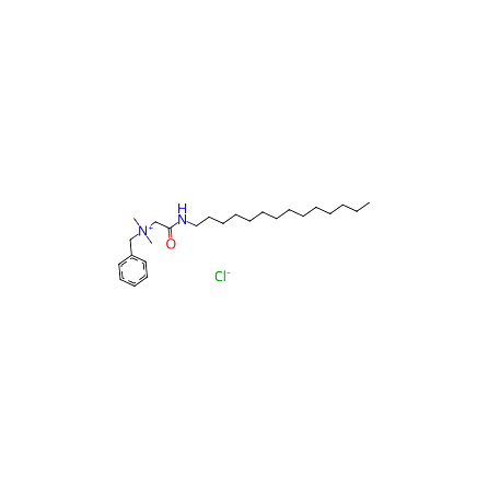 CCCCCCCCCCCCCCNC(=O)C[N+](C)(C)Cc1ccccc1.[Cl-]